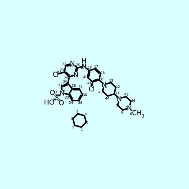 C1CCCCC1.CN1CCN(C2CCN(c3ccc(Nc4ncc(Cl)c(-c5cn(S(=O)(=O)O)c6ccccc56)n4)cc3Cl)CC2)CC1